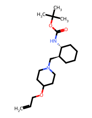 C=CCOC1CCN(C[C@@H]2CCCC[C@H]2NC(=O)OC(C)(C)C)CC1